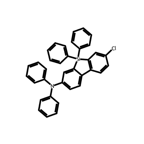 Clc1ccc2c(c1)[Si](c1ccccc1)(c1ccccc1)c1cc(N(c3ccccc3)c3ccccc3)ccc1-2